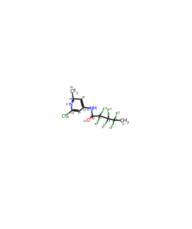 CC(F)(F)C(F)(F)C(F)(F)C(=O)Nc1cc(Cl)nc(C(F)(F)F)c1